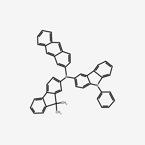 CC1(C)c2ccccc2-c2ccc(N(c3ccc4cc5ccccc5cc4c3)c3ccc4c(c3)c3ccccc3n4-c3ccccc3)cc21